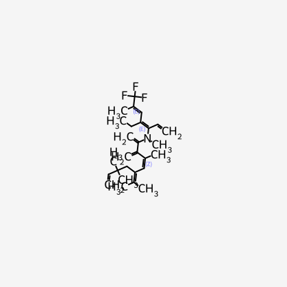 C=C/C(=C(\C=C(/C)C(F)(F)F)CC)N(C)C(=C)C(=C)/C(C)=C\C(CC(C)(C)C=C)=C(C)C